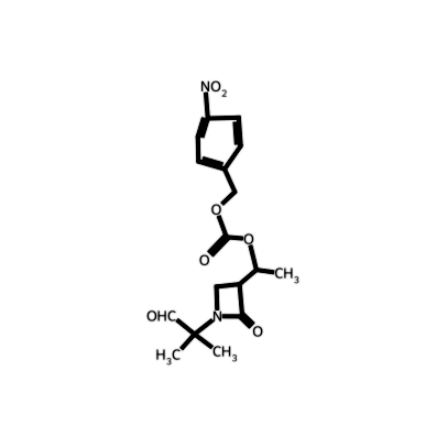 CC(OC(=O)OCc1ccc([N+](=O)[O-])cc1)C1CN(C(C)(C)C=O)C1=O